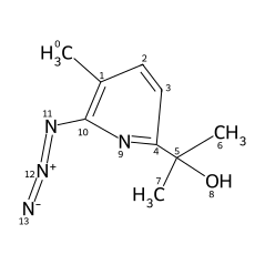 Cc1ccc(C(C)(C)O)nc1N=[N+]=[N-]